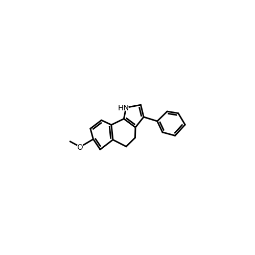 COc1ccc2c(c1)CCc1c(-c3ccccc3)c[nH]c1-2